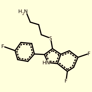 NCCCSc1c(-c2ccc(F)cc2)[nH]c2c(F)cc(F)cc12